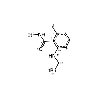 CCNC(=O)c1c(C)cccc1NCC(C)(C)C